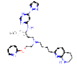 O=C(O)[C@H](CCN(CCCCc1ccc2c(n1)NCCC2)CCOc1ccccn1)Nc1cc(-n2cccn2)ncn1